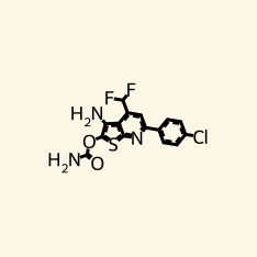 NC(=O)Oc1sc2nc(-c3ccc(Cl)cc3)cc(C(F)F)c2c1N